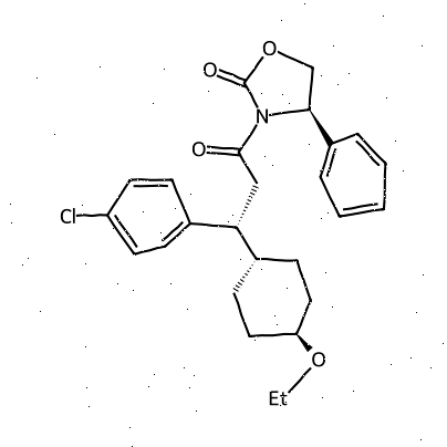 CCO[C@H]1CC[C@H]([C@@H](CC(=O)N2C(=O)OC[C@H]2c2ccccc2)c2ccc(Cl)cc2)CC1